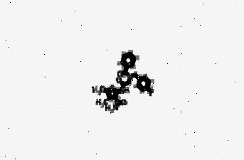 Cc1sc(NC(=O)CN(Cc2ccc(F)cc2)C(=O)c2ccccc2)c(C(N)=O)c1C